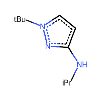 CC(C)Nc1ccn(C(C)(C)C)n1